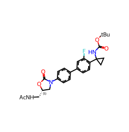 CC(=O)NC[C@H]1CN(c2ccc(-c3ccc(C4(NC(=O)OC(C)(C)C)CC4)c(F)c3)cc2)C(=O)O1